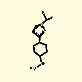 O=C(O)NC1CCC(c2ccn(C(F)F)n2)CC1